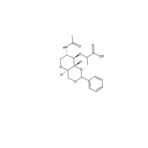 CC(=O)N[C@H]1CO[C@@H]2COC(c3ccccc3)O[C@H]2[C@@H]1OC(C)C(=O)O